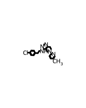 Cc1ccc(N2CCc3ncnc(NCCc4ccc(Cl)cc4)c3C2)nc1